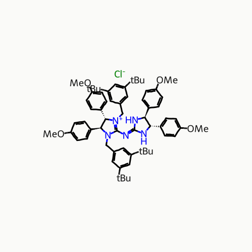 COc1ccc([C@@H]2NC(=NC3=[N+](Cc4cc(C(C)(C)C)cc(C(C)(C)C)c4)[C@@H](c4ccc(OC)cc4)[C@H](c4ccc(OC)cc4)N3Cc3cc(C(C)(C)C)cc(C(C)(C)C)c3)N[C@H]2c2ccc(OC)cc2)cc1.[Cl-]